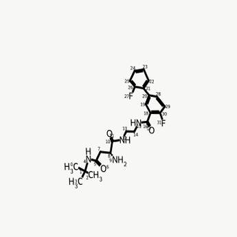 CC(C)(C)NC(=O)C[C@H](N)C(=O)NCCNC(=O)c1cc(-c2ccccc2F)ccc1F